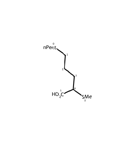 CCCCCCCCC(SC)C(=O)O